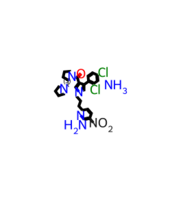 N.Nc1nc(CCCn2cc(C(=O)N3CCC[C@H]3CN3CCCC3)c(-c3ccc(Cl)cc3Cl)c2)ccc1[N+](=O)[O-]